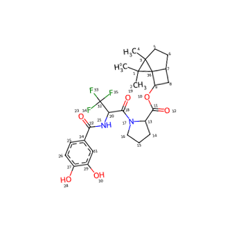 CC1(C)C2(C)CCC3CC(OC(=O)C4CCCN4C(=O)C(NC(=O)c4ccc(O)c(O)c4)C(F)(F)F)C312